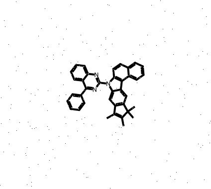 CC1=C(C)C(C)(C)c2cc3c4c5ccccc5ccc4n(-c4nc(-c5ccccc5)c5ccccc5n4)c3cc21